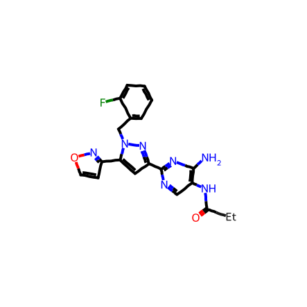 CCC(=O)Nc1cnc(-c2cc(-c3ccon3)n(Cc3ccccc3F)n2)nc1N